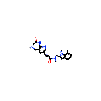 Cc1cccc2cc(CN(C)C(=O)/C=C/c3cnc4c(c3)CN(C)CC(=O)N4)n(C)c12